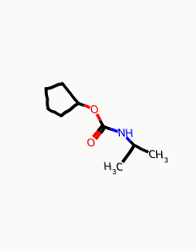 CC(C)NC(=O)OC1CCCC1